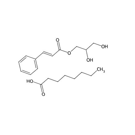 CCCCCCCC(=O)O.O=C(/C=C/c1ccccc1)OCC(O)CO